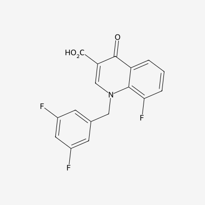 O=C(O)c1cn(Cc2cc(F)cc(F)c2)c2c(F)cccc2c1=O